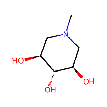 CN1C[C@@H](O)[C@H](O)[C@@H](O)C1